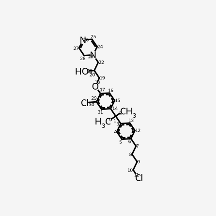 CC(C)(c1ccc(CCCCCl)cc1)c1ccc(OCC(O)CN2C=CN=CC2)c(Cl)c1